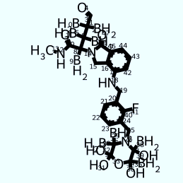 BC(B)(C=O)C(B)(B)C(B)(C(=O)NC)N1Cc2c(NCc3cccc(CN4C(B)(B)C(O)(O)OC(B)(O)C4(B)O)c3F)cccc2C1=O